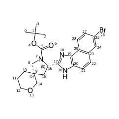 CC(C)(C)OC(=O)N1C[C@]2(CCCOC2)C[C@H]1c1nc2c(ccc3cc(Br)ccc32)[nH]1